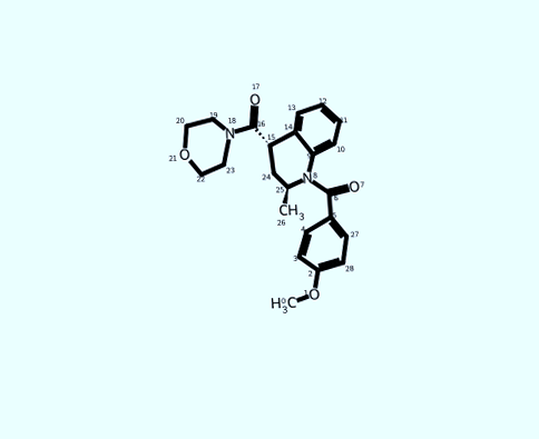 COc1ccc(C(=O)N2c3ccccc3[C@@H](C(=O)N3CCOCC3)C[C@@H]2C)cc1